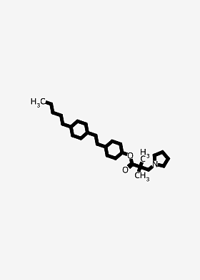 CCCCCC1CCC(CCC2CCC(OC(=O)C(C)(C)CN3CCCC3)CC2)CC1